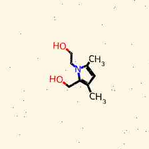 Cc1cc(C)n(CCO)c1CO